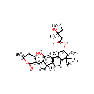 CC(=O)O[C@H]1[C@H](OC(=O)C[C@@](C)(O)CC(=O)O)C[C@]2(C)C3=C(CCC2C1(C)C)[C@]1(C)CC[C@H]([C@H]2CC[C@H](C(C)(C)C)OC2O)[C@@]1(C)[C@@H](O)C3